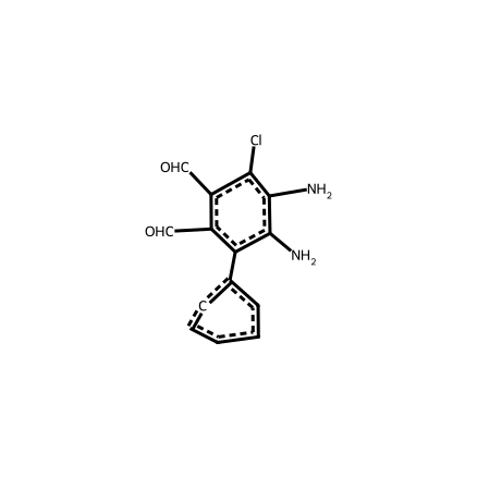 Nc1c(N)c(-c2ccccc2)c(C=O)c(C=O)c1Cl